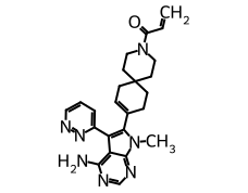 C=CC(=O)N1CCC2(CC=C(c3c(-c4cccnn4)c4c(N)ncnc4n3C)CC2)CC1